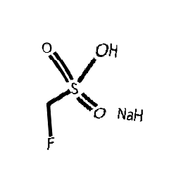 O=S(=O)(O)CF.[NaH]